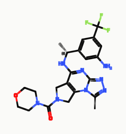 Cc1nnc2nc(N[C@H](C)c3cc(N)cc(C(F)(F)F)c3)c3c(n12)CN(C(=O)N1CCOCC1)C3